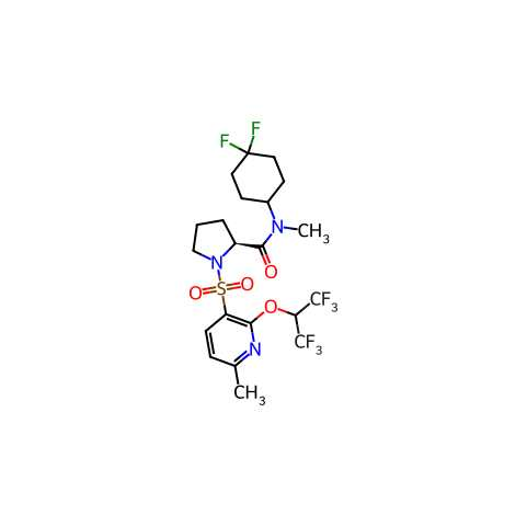 Cc1ccc(S(=O)(=O)N2CCC[C@H]2C(=O)N(C)C2CCC(F)(F)CC2)c(OC(C(F)(F)F)C(F)(F)F)n1